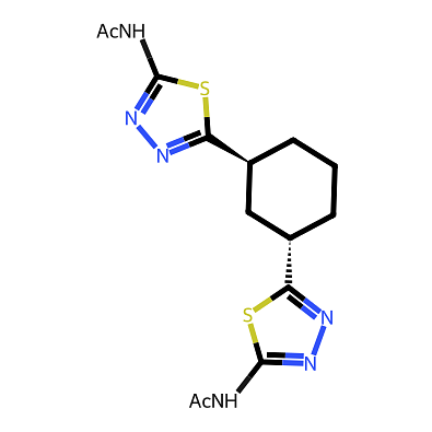 CC(=O)Nc1nnc([C@H]2CCC[C@H](c3nnc(NC(C)=O)s3)C2)s1